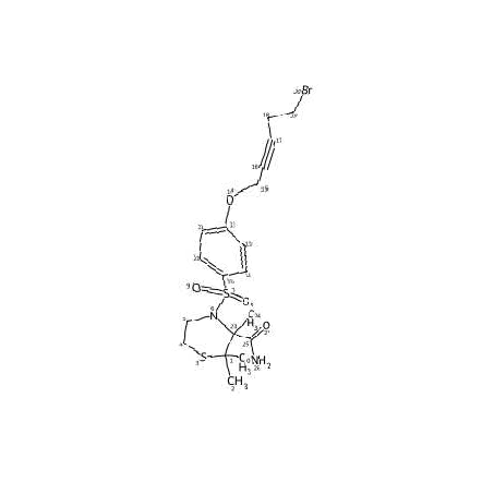 CC1(C)SCCN(S(=O)(=O)c2ccc(OCC#CCCBr)cc2)C1(C)C(N)=O